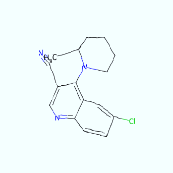 CC1CCCCN1c1c(C#N)cnc2ccc(Cl)cc12